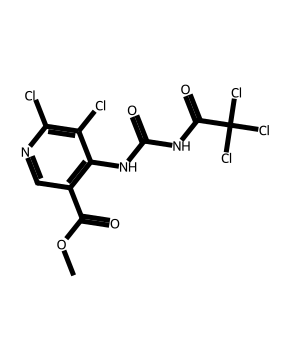 COC(=O)c1cnc(Cl)c(Cl)c1NC(=O)NC(=O)C(Cl)(Cl)Cl